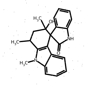 CC1CC(C)(O)C2(C(=O)Nc3ccccc32)c2c1n(C)c1ccccc21